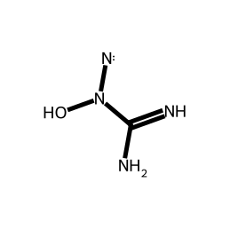 [N]N(O)C(=N)N